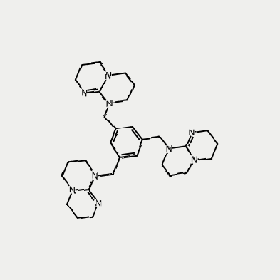 c1c(CN2CCCN3CCCN=C32)cc(CN2CCCN3CCCN=C32)cc1CN1CCCN2CCCN=C21